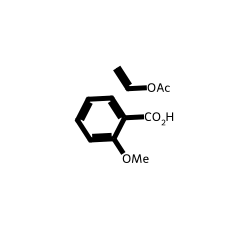 C=COC(C)=O.COc1ccccc1C(=O)O